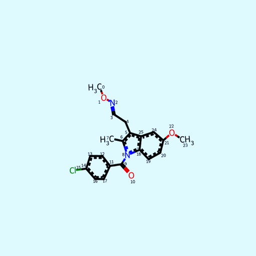 CON=CCc1c(C)n(C(=O)c2ccc(Cl)cc2)c2ccc(OC)cc12